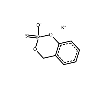 [K+].[O-]P1(=S)OCc2ccccc2O1